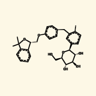 Cc1ccc([C@@H]2O[C@H](CO)[C@@H](O)[C@H](O)[C@H]2O)cc1Cc1ccc(OC[C@H]2OC(C)(C)c3ccccc32)cc1